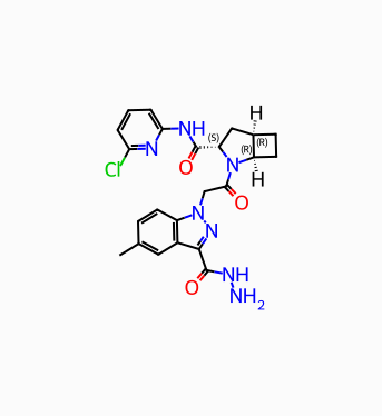 Cc1ccc2c(c1)c(C(=O)NN)nn2CC(=O)N1[C@@H]2CC[C@@H]2C[C@H]1C(=O)Nc1cccc(Cl)n1